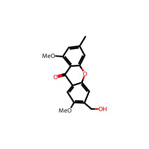 COc1cc2c(=O)c3c(OC)cc(C)cc3oc2cc1CO